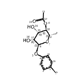 [CH2]c1ccc(O[C@@H]2O[C@@H](C)[C@H](OC(C)=O)[C@@H](O)[C@H]2O)cc1